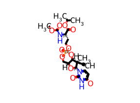 C#C[C@]1(C)[C@@H]2O[P@@](=O)(OCC[C@H](NC(=O)OC)C(=O)OC(C)C)OC[C@H]2O[C@H]1n1ccc(=O)[nH]c1=O